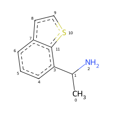 CC(N)c1cccc2ccsc12